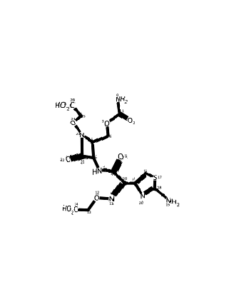 NC(=O)OCC1C(NC(=O)/C(=N\OCC(=O)O)c2csc(N)n2)C(=O)N1OCC(=O)O